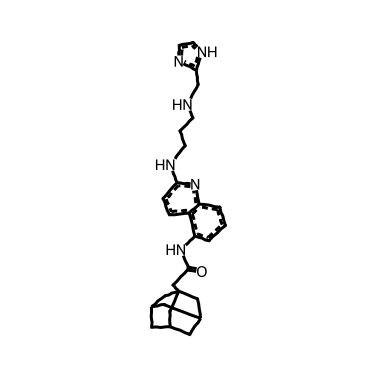 O=C(CC12CC3CC(CC(C3)C1)C2)Nc1cccc2nc(NCCCNCc3ncc[nH]3)ccc12